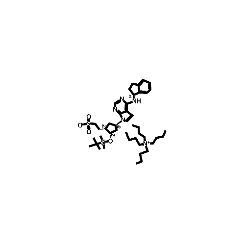 CC(C)(C)[Si](C)(C)O[C@H]1C[C@H](n2ccc3c(N[C@H]4CCc5ccccc54)ncnc32)C[C@H]1CCS(=O)(=O)[O-].CCCC[N+](CCCC)(CCCC)CCCC